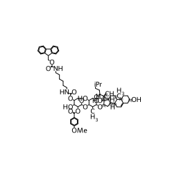 COc1ccc(C(=O)OC2C(OC3C(O)COC(O[C@H]4C[C@H]5[C@@H]6CC=C7C[C@@H](O)CC[C@]7(C)C6CC[C@]5(C)[C@@]4(O)[C@H](C)C(=O)CCC(C)C)C3C)OCC(OC(=O)NCCCCCCNC(=O)OCC3c4ccccc4-c4ccccc43)C2O)cc1